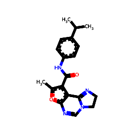 Cc1oc2c(c1C(=O)Nc1ccc(C(C)C)cc1)C1=NCCN1C=N2